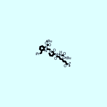 CC(C)Cc1cccc2c1nc(Cn1cccc(NC(=O)C(CCC=CC(=O)N(C)C)NC(=O)OC(C)(C)C)c1=O)n2C(=O)OC(C)(C)C